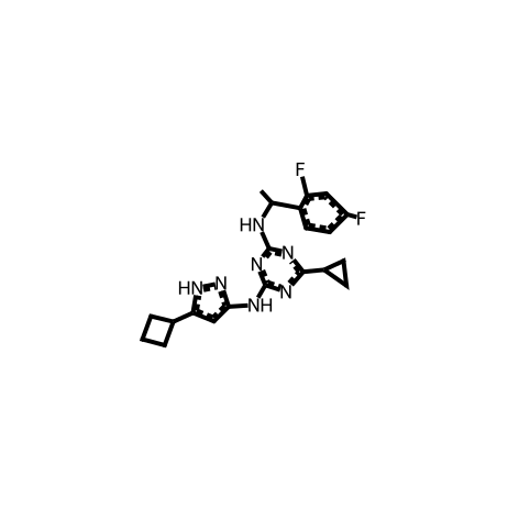 CC(Nc1nc(Nc2cc(C3CCC3)[nH]n2)nc(C2CC2)n1)c1ccc(F)cc1F